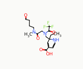 CCC1(CN(CC(=O)N(C)CCCC=O)C(=O)C(F)(F)F)C=C(C(=O)O)C=CN1